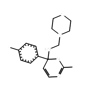 CC1=NC=CC(NCN2CCNCC2)(c2ccc(F)cc2)N1